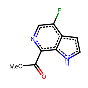 COC(=O)c1ncc(F)c2cc[nH]c12